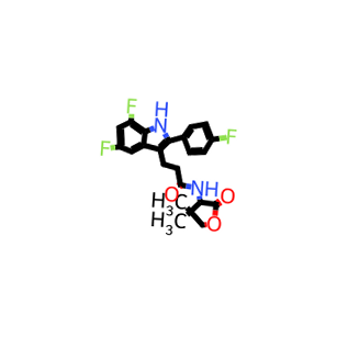 CC1(C)COC(=O)C1NC(=O)CCc1c(-c2ccc(F)cc2)[nH]c2c(F)cc(F)cc12